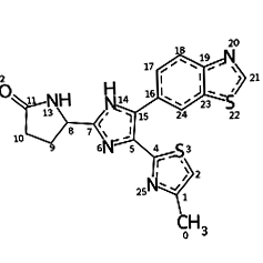 Cc1csc(-c2nc(C3CCC(=O)N3)[nH]c2-c2ccc3ncsc3c2)n1